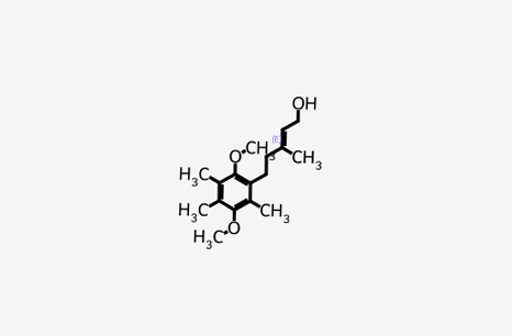 COc1c(C)c(C)c(OC)c(CC/C(C)=C/CO)c1C